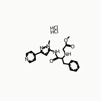 COC(=O)CNC(Cc1ccccc1)C(=O)Nc1cc(-c2ccncc2)nn1C.Cl.Cl